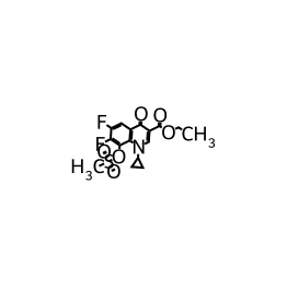 CCOC(=O)c1cn(C2CC2)c2c(OS(C)(=O)=O)c(F)c(F)cc2c1=O